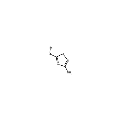 CCOc1nc(N)no1